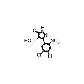 O=C(O)c1c(-c2cc(Cl)c(Cl)cc2[N+](=O)[O-])[nH][nH]c1=O